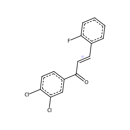 O=C(/C=C/c1ccccc1F)c1ccc(Cl)c(Cl)c1